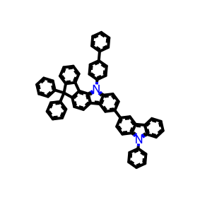 c1ccc(-c2ccc(-n3c4ccc(-c5ccc6c(c5)c5ccccc5n6-c5ccccc5)cc4c4ccc5c(c43)-c3ccccc3C5(c3ccccc3)c3ccccc3)cc2)cc1